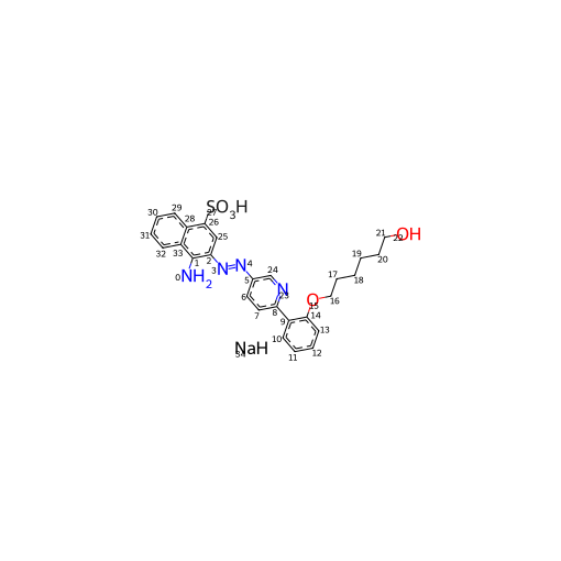 Nc1c(N=Nc2ccc(-c3ccccc3OCCCCCCO)nc2)cc(S(=O)(=O)O)c2ccccc12.[NaH]